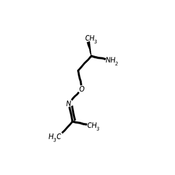 CC(C)=NOC[C@@H](C)N